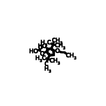 CCCOc1cc(C(C)(C)C)c(OC(=O)O)c(O)c1C(C)(C)C